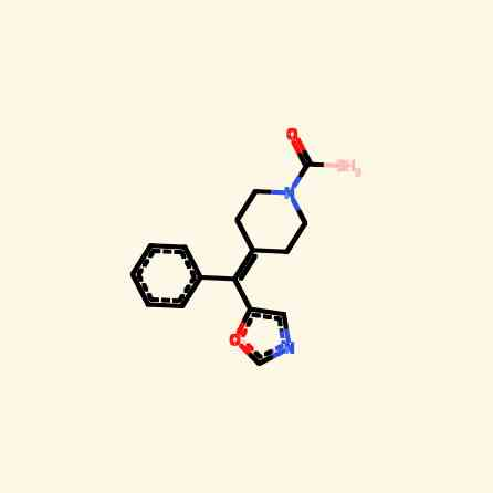 BC(=O)N1CCC(=C(c2ccccc2)c2cnco2)CC1